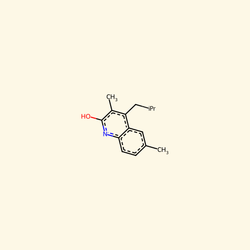 Cc1ccc2nc(O)c(C)c(CC(C)C)c2c1